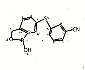 N#Cc1cccc(Sc2ccc3c(c2)B(O)OC3)c1